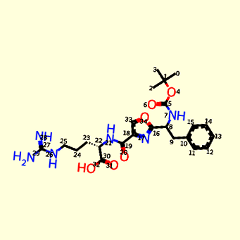 CC(C)(C)OC(=O)NC(Cc1ccccc1)c1nc(C(=O)N[C@@H](CCCNC(=N)N)C(=O)O)co1